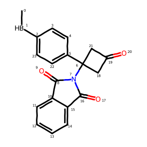 CBc1ccc(C2(N3C(=O)c4ccccc4C3=O)CC(=O)C2)cc1